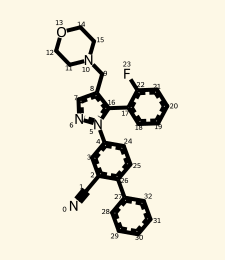 N#Cc1cc(-n2ncc(CN3CCOCC3)c2-c2ccccc2F)ccc1-c1ccccc1